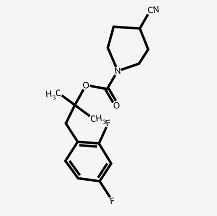 CC(C)(Cc1ccc(F)cc1F)OC(=O)N1CCC(C#N)CC1